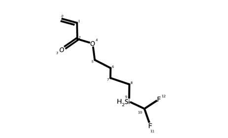 C=CC(=O)OCCCC[SiH2]C(F)F